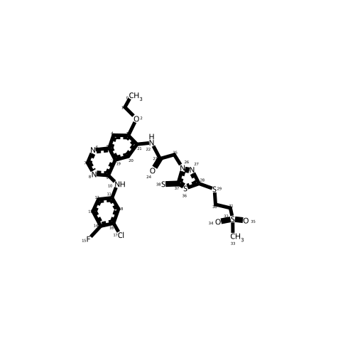 CCOc1cc2ncnc(Nc3ccc(F)c(Cl)c3)c2cc1NC(=O)Cn1nc(SCCS(C)(=O)=O)sc1=S